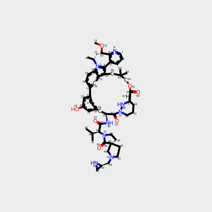 CCn1c(-c2cccnc2[C@H](C)OC)c2c3cc(ccc31)-c1cc(O)cc(c1)C[C@H](NC(=O)[C@H](C(C)C)N1CC[C@@]3(CCN(C[C@H]4CN4)C3)C1=O)C(=O)N1CCC[C@H](N1)C(=O)OCC(C)(C)C2